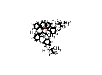 CC(C(CN)P(c1ccccc1)c1ccccc1)(P(c1ccccc1)c1ccccc1)P(c1ccccc1)c1ccccc1.CC(C)(C)C(=O)[O-].CC(C)(C)C(=O)[O-].[Ru+2]